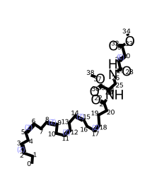 CC/C=C\C/C=C\C/C=C\C/C=C\C/C=C\C/C=C\CCC(=O)NC(CNC(=O)/C=C/C(=O)OC)C(=O)OC